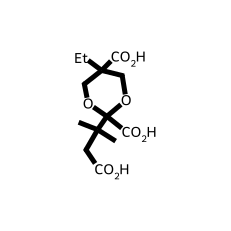 CCC1(C(=O)O)COC(C(=O)O)(C(C)(C)CC(=O)O)OC1